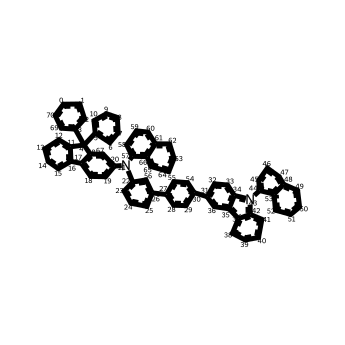 c1ccc(C2(c3ccccc3)c3ccccc3-c3ccc(N(c4cccc(-c5ccc(-c6ccc7c(c6)c6ccccc6n7-c6cccc7ccccc67)cc5)c4)c4cccc5ccccc45)cc32)cc1